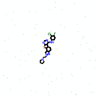 Fc1ccc(Nc2ncnc3sc4c5cn(CCN6CCCC6)nc5ccc4c23)cc1Cl